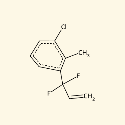 C=CC(F)(F)c1cccc(Cl)c1C